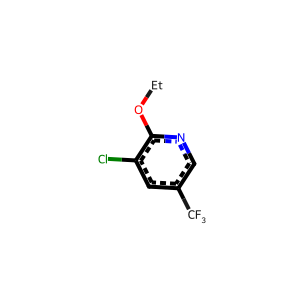 CCOc1ncc(C(F)(F)F)cc1Cl